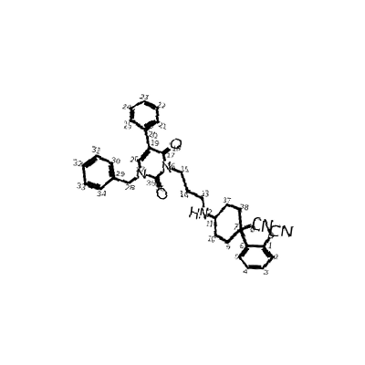 N#Cc1ccccc1C1(C#N)CCC(NCCCn2c(=O)c(-c3ccccc3)cn(Cc3ccccc3)c2=O)CC1